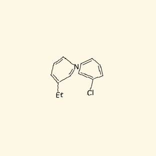 CCc1cccnc1.Clc1ccccc1